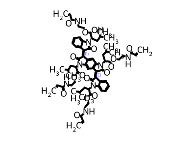 C=CC(=O)NCCOC(=O)C(CC(C)C)N1C(=O)/C(=C2/C(=O)N(C(CC(C)C)C(=O)OCCNC(=O)C=C)c3cc4c(cc32)N(C(CC(C)C)C(=O)OCCNC(=O)C=C)C(=O)/C4=C2/C(=O)N(C(CC(C)C)C(O)OCCNC(=O)C=C)c3ccccc32)c2ccccc21